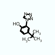 CC(C)(C)c1ccc(O)c(-n2cnnn2)c1